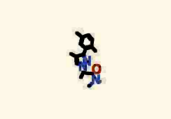 Cc1ccc(C)c(-c2nn(C(C)C(=O)N(C)C)cc2C)c1